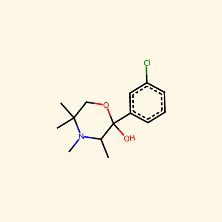 CC1N(C)C(C)(C)COC1(O)c1cccc(Cl)c1